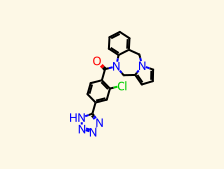 O=C(c1ccc(-c2nnn[nH]2)cc1Cl)N1Cc2cccn2Cc2ccccc21